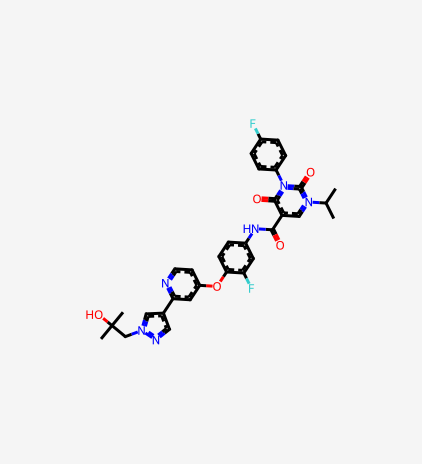 CC(C)n1cc(C(=O)Nc2ccc(Oc3ccnc(-c4cnn(CC(C)(C)O)c4)c3)c(F)c2)c(=O)n(-c2ccc(F)cc2)c1=O